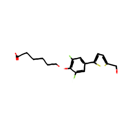 O=C(O)CCCCCOc1c(F)cc(-c2ccc(CO)s2)cc1F